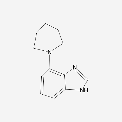 c1cc(N2CCCCC2)c2nc[nH]c2c1